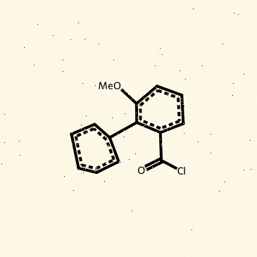 COc1cccc(C(=O)Cl)c1-c1ccccc1